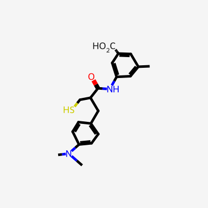 Cc1cc(NC(=O)C(CS)Cc2ccc(N(C)C)cc2)cc(C(=O)O)c1